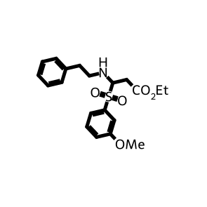 CCOC(=O)CC(NCCc1ccccc1)S(=O)(=O)c1cccc(OC)c1